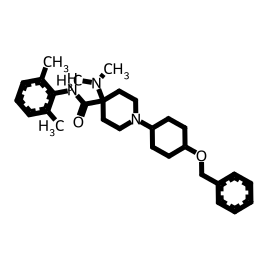 Cc1cccc(C)c1NC(=O)C1(N(C)C)CCN(C2CCC(OCc3ccccc3)CC2)CC1